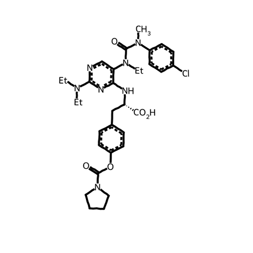 CCN(CC)c1ncc(N(CC)C(=O)N(C)c2ccc(Cl)cc2)c(N[C@@H](Cc2ccc(OC(=O)N3CCCC3)cc2)C(=O)O)n1